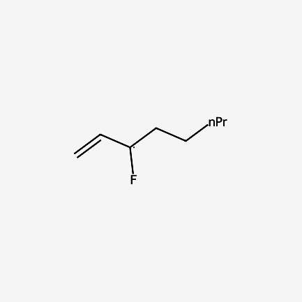 C=C[C](F)CCCCC